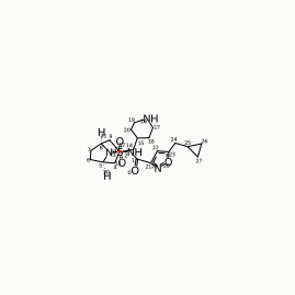 O=C(NC1C[C@H]2CC[C@@H](C1)N2S(=O)(=O)CC1CCNCC1)c1cc(CC2CC2)on1